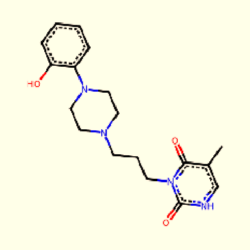 Cc1c[nH]c(=O)n(CCCN2CCN(c3ccccc3O)CC2)c1=O